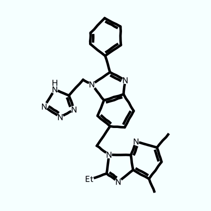 CCc1nc2c(C)cc(C)nc2n1Cc1ccc2nc(-c3ccccc3)n(Cc3nnn[nH]3)c2c1